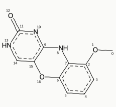 COc1cccc2c1Nc1nc(=O)[nH]cc1O2